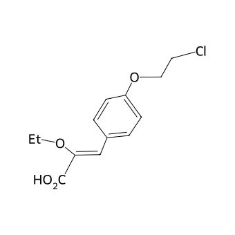 CCOC(=Cc1ccc(OCCCl)cc1)C(=O)O